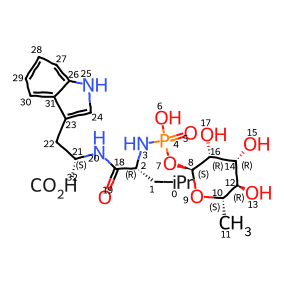 CC(C)C[C@@H](NP(=O)(O)O[C@@H]1O[C@@H](C)[C@H](O)[C@@H](O)[C@H]1O)C(=O)N[C@@H](Cc1c[nH]c2ccccc12)C(=O)O